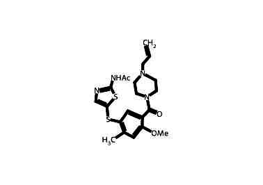 C=CCN1CCN(C(=O)c2cc(Sc3cnc(NC(C)=O)s3)c(C)cc2OC)CC1